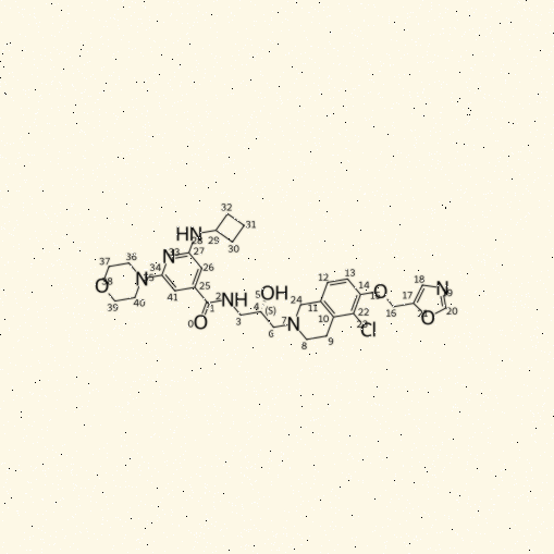 O=C(NC[C@H](O)CN1CCc2c(ccc(OCc3cnco3)c2Cl)C1)c1cc(NC2CCC2)nc(N2CCOCC2)c1